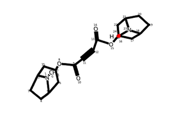 CN1C2CCC1CC(OC(=O)C#CC(=O)OC1CC3CCC(C1)N3C)C2